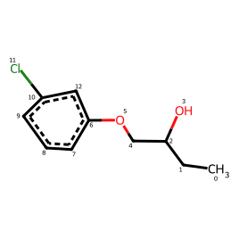 CCC(O)COc1cccc(Cl)c1